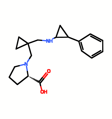 O=C(O)[C@@H]1CCCN1CC1(CNC2CC2c2ccccc2)CC1